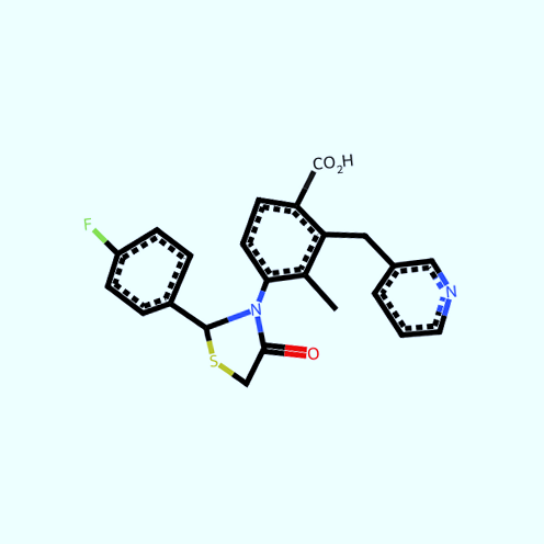 Cc1c(N2C(=O)CSC2c2ccc(F)cc2)ccc(C(=O)O)c1Cc1cccnc1